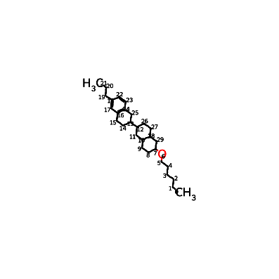 CCCCCCOC1CCC2CC(C3CCc4cc(CCC)ccc4C3)CCC2C1